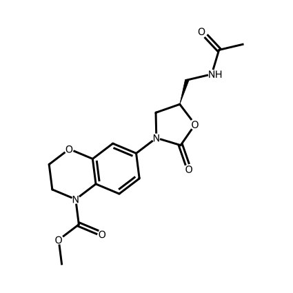 COC(=O)N1CCOc2cc(N3C[C@@H](CNC(C)=O)OC3=O)ccc21